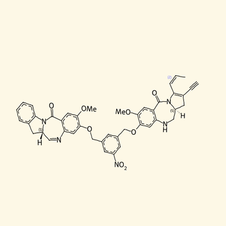 C#CC1=C(/C=C\C)N2C(=O)c3cc(OC)c(OCc4cc(COc5cc6c(cc5OC)C(=O)N5c7ccccc7C[C@H]5C=N6)cc([N+](=O)[O-])c4)cc3NC[C@@H]2C1